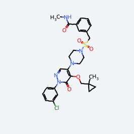 CNC(=O)c1cccc(CS(=O)(=O)N2CCN(c3cnn(-c4cccc(Cl)c4)c(=O)c3OCC3(C)CC3)CC2)c1